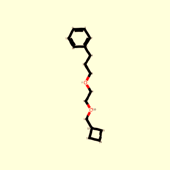 [c]1ccc(CCCOCCOCC2CCC2)cc1